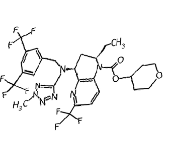 CC[C@@H]1C[C@H](N(Cc2cc(C(F)(F)F)cc(C(F)(F)F)c2)c2nnn(C)n2)c2nc(C(F)(F)F)ccc2N1C(=O)OC1CCOCC1